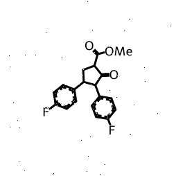 COC(=O)C1CC(c2ccc(F)cc2)C(c2ccc(F)cc2)C1=O